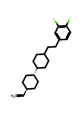 C=C[C@H]1CC[C@H](C2CCC(CCc3ccc(F)c(F)c3)CC2)CC1